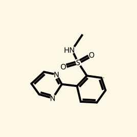 CNS(=O)(=O)c1[c]cccc1-c1ncccn1